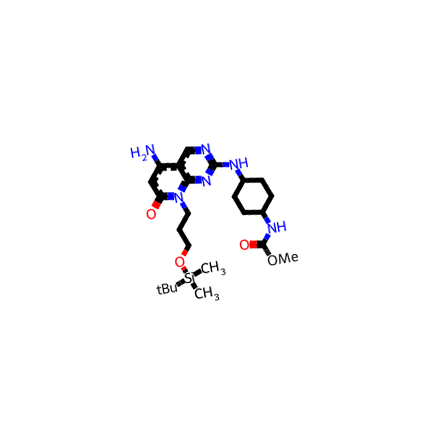 COC(=O)NC1CCC(Nc2ncc3c(N)cc(=O)n(CCCO[Si](C)(C)C(C)(C)C)c3n2)CC1